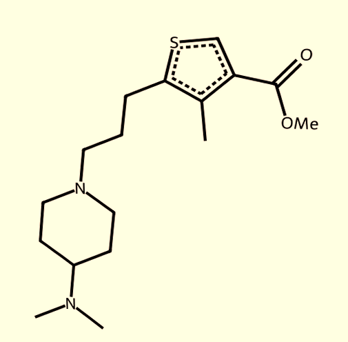 COC(=O)c1csc(CCCN2CCC(N(C)C)CC2)c1C